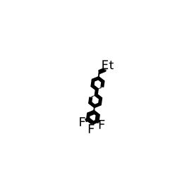 CC/C=C/[C@H]1CC[C@H]([C@H]2CC[C@H](c3cc(F)c(F)c(F)c3)CC2)CC1